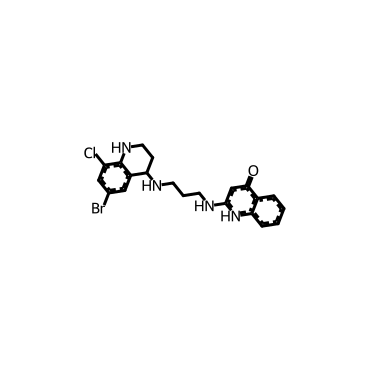 O=c1cc(NCCCNC2CCNc3c(Cl)cc(Br)cc32)[nH]c2ccccc12